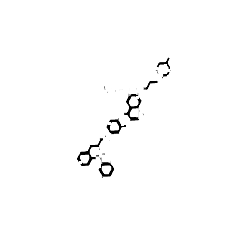 COc1cc2c(Oc3ccc(NC(=O)c4nn(-c5cc(C(F)(F)F)ccc5Cl)c5ccccc5c4=O)cc3F)ccnc2cc1OCCCN1CCC(C)CC1